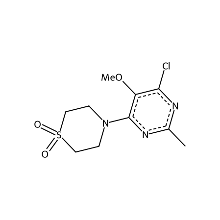 COc1c(Cl)nc(C)nc1N1CCS(=O)(=O)CC1